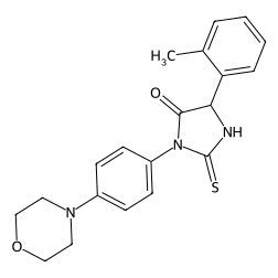 Cc1ccccc1C1NC(=S)N(c2ccc(N3CCOCC3)cc2)C1=O